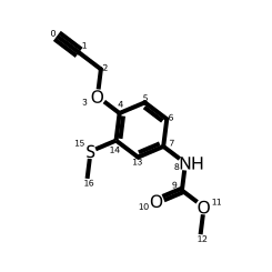 C#CCOc1ccc(NC(=O)OC)cc1SC